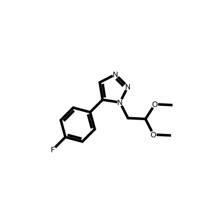 COC(Cn1nncc1-c1ccc(F)cc1)OC